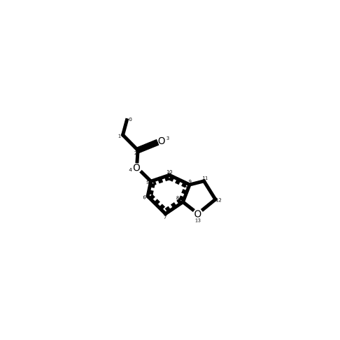 CCC(=O)Oc1ccc2c(c1)CCO2